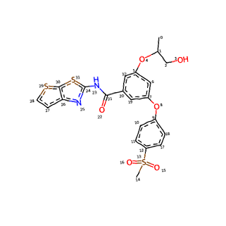 CC(CO)Oc1cc(Oc2ccc(S(C)(=O)=O)cc2)cc(C(=O)Nc2nc3ccsc3s2)c1